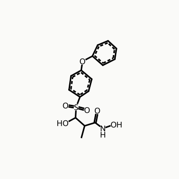 CC(C(=O)NO)C(O)S(=O)(=O)c1ccc(Oc2ccccc2)cc1